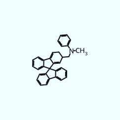 CN(CC1C=C2C(=CC1)c1ccccc1C21c2ccccc2-c2ccccc21)c1ccccc1